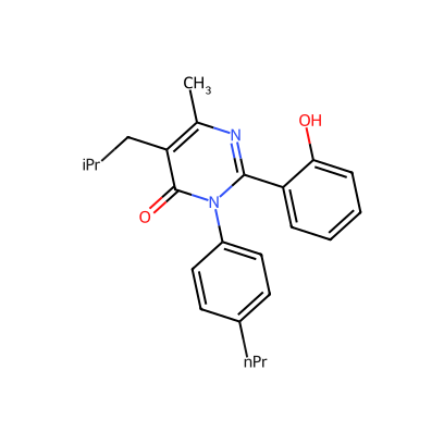 CCCc1ccc(-n2c(-c3ccccc3O)nc(C)c(CC(C)C)c2=O)cc1